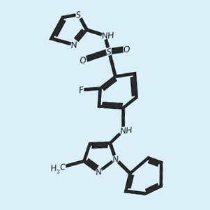 Cc1cc(Nc2ccc(S(=O)(=O)Nc3nccs3)c(F)c2)n(-c2ccccc2)n1